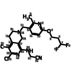 Cc1nc(OCCC(F)F)ccc1CN1CCc2c(C#N)c(Cl)nc(NCC#N)c2C1